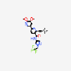 COc1cc(-c2ccc(C(=O)Nc3cnn(CC(F)(F)F)c3)c(C#C[Si](C)(C)C)n2)cnc1OC